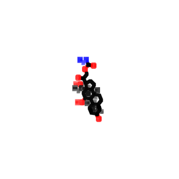 C[C@]12C=CC(=O)C=C1CC[C@@H]1[C@@H]2C(O)C[C@@]2(C)[C@H]1CC[C@]2(O)C(=O)COC(N)=O